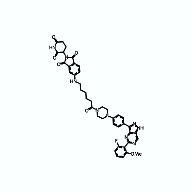 COc1cccc(F)c1-c1ncc2[nH]nc(-c3ccc(N4CCN(C(=O)CCCCCNc5ccc6c(c5)C(=O)N(C5CCC(=O)NC5=O)C6=O)CC4)cc3)c2n1